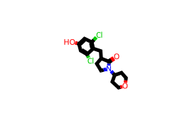 O=C1C(Cc2c(Cl)cc(O)cc2Cl)CCN1C1CCOCC1